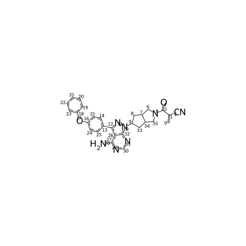 C=C(C#N)C(=O)N1CC2CC(n3nc(-c4ccc(Oc5ccccc5)cc4)c4c(N)ncnc43)CC2C1